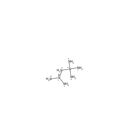 [SiH3][SiH]([SiH3])[SiH2][Si]([SiH3])([SiH3])[SiH3]